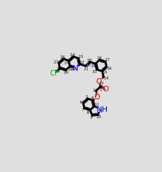 O=C(COc1cccc2cc[nH]c12)OCc1cccc(/C=C/c2ccc3ccc(Cl)cc3n2)c1